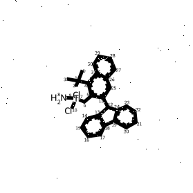 CC(C)(C)c1c([CH2][Ti]([NH2])([Cl])[Cl])c(C2c3ccccc3-c3ccccc32)cc2ccccc12